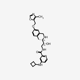 Cc1ncoc1COc1ccc2c(c1)CN[C@H]([C@H](O)CNC(=O)c1cc(NC3CCC3)ccn1)C2